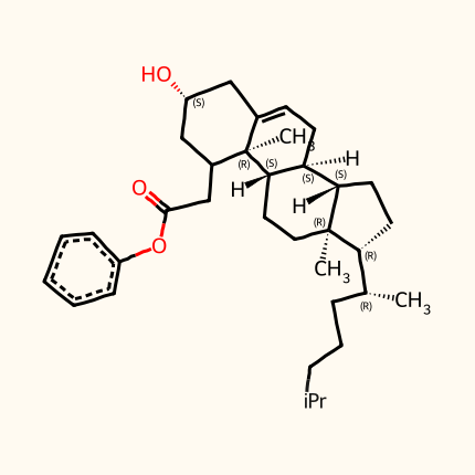 CC(C)CCC[C@@H](C)[C@H]1CC[C@H]2[C@@H]3CC=C4C[C@@H](O)CC(CC(=O)Oc5ccccc5)[C@]4(C)[C@H]3CC[C@]12C